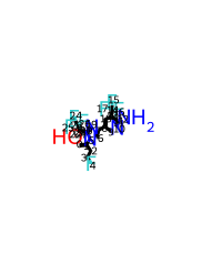 C=C(CCF)n1cc(-c2cnc(N)c(C(F)(F)F)c2)nc1[C@H](O)C(F)(F)F